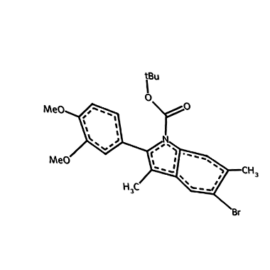 COc1ccc(-c2c(C)c3cc(Br)c(C)cc3n2C(=O)OC(C)(C)C)cc1OC